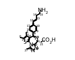 Cc1sc2c(c1C)C(c1ccc(/C=C/CCN)cc1)=N[C@H](CC(=O)O)c1nnc(C)n1-2